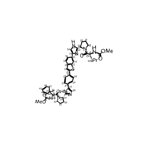 COC(=O)N[C@H](C(=O)N1CCC[C@H]1c1nc(-c2ccc3cc(-c4ccc(-c5cnc([C@@H]6CCCN6C(=O)[C@H](NC(=O)OC)C6(C)C=CC=CC6)[nH]5)cc4)sc3c2)c[nH]1)C(C)C